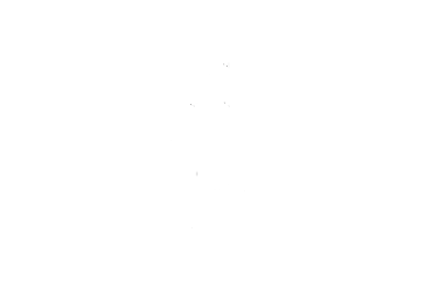 COc1ccc(-c2cnc(C(N)=O)nc2C)cc1OC